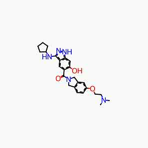 CN(C)CCOc1ccc2c(c1)CN(C(=O)c1cc3c(NC4CCCC4)n[nH]c3cc1O)C2